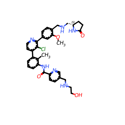 COc1cc(-c2nccc(-c3cccc(NC(=O)c4ccc(CNCCO)cn4)c3C)c2Cl)ccc1CNC[C@@H]1CCC(=O)N1